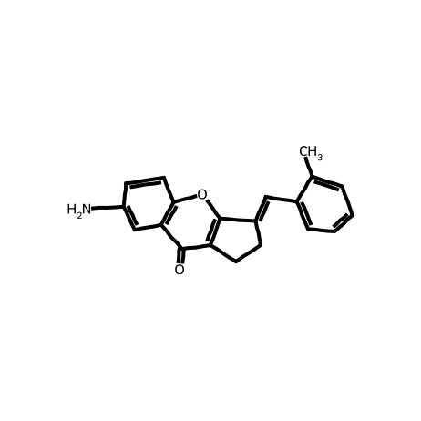 Cc1ccccc1C=C1CCc2c1oc1ccc(N)cc1c2=O